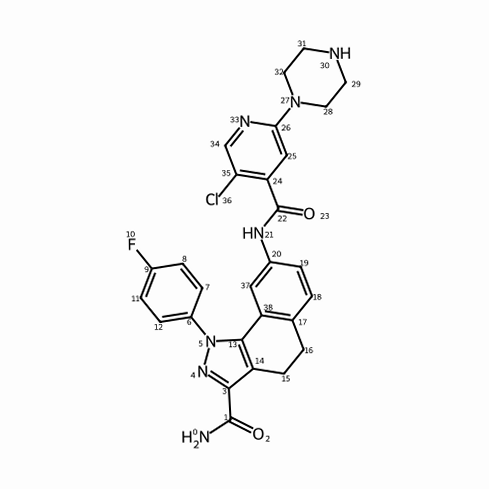 NC(=O)c1nn(-c2ccc(F)cc2)c2c1CCc1ccc(NC(=O)c3cc(N4CCNCC4)ncc3Cl)cc1-2